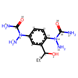 CCC(O)c1cc(N(N)C(N)=O)ccc1N(N)C(N)=O